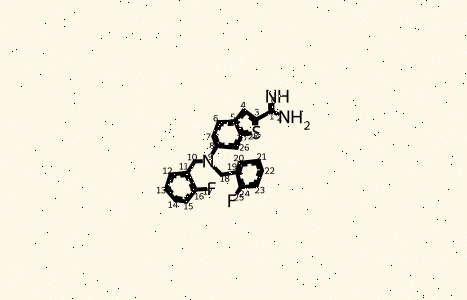 N=C(N)c1cc2ccc(N(Cc3ccccc3F)Cc3ccccc3F)cc2s1